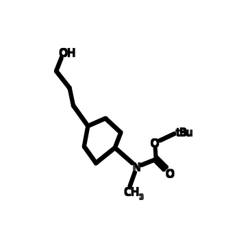 CN(C(=O)OC(C)(C)C)C1CCC(CCCO)CC1